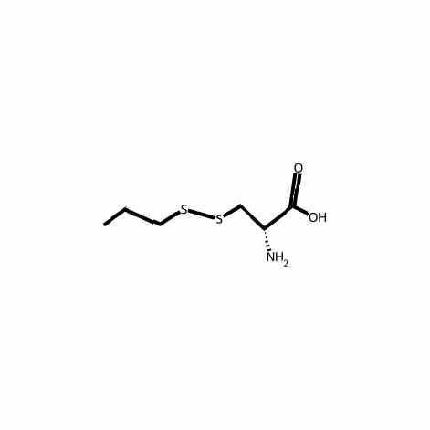 CCCSSC[C@@H](N)C(=O)O